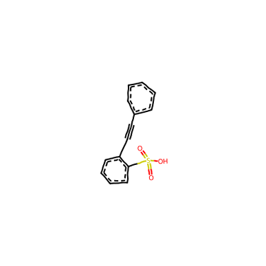 O=S(=O)(O)c1ccccc1C#Cc1ccccc1